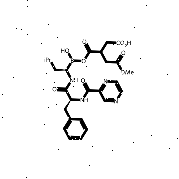 COC(=O)CC(CC(=O)O)C(=O)OB(O)[C@H](CC(C)C)NC(=O)[C@H](Cc1ccccc1)NC(=O)c1cnccn1